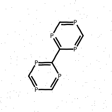 c1pcpc(-c2pcpcp2)p1